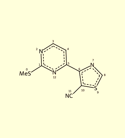 CSc1nccc(-c2ncsc2C#N)n1